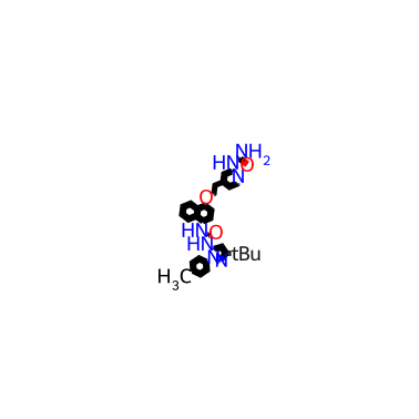 Cc1ccc(-n2nc(C(C)(C)C)cc2NC(=O)Nc2ccc(OCCc3ccnc(NC(N)=O)c3)c3ccccc23)cc1